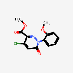 COC(=O)c1nn(-c2ccccc2OC)c(=O)cc1Cl